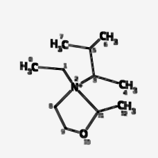 CC[N+]1(C(C)C(C)C)CCOC1C